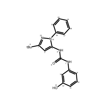 CC(C)(C)c1cc(NC(=O)Nc2cccc(O)c2)n(-c2ccccc2)n1